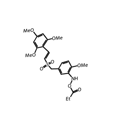 CCC(=O)ONc1cc(CS(=O)(=O)C=Cc2c(OC)cc(OC)cc2OC)ccc1OC